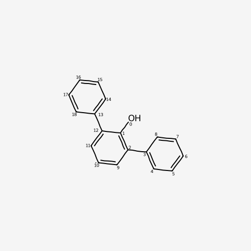 Oc1c(-c2ccccc2)c[c]cc1-c1ccccc1